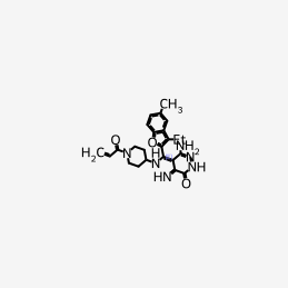 C=CC(=O)N1CCC(N/C(=C2\C(=N)C(=O)NN=C2N)c2oc3ccc(C)cc3c2CC)CC1